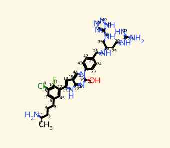 C[C@H](N)CCCc1cc(Cl)c(F)c(-c2cc3c([nH]2)=NC(O)N(c2ccc(CN[C@H](CCNC(=N)N)CNc4nnn[nH]4)cc2)C=3)c1